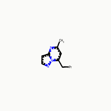 Cc1cc(CC(C)C)n2nccc2n1